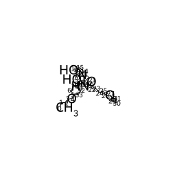 CCCCOc1ccc([C@@H](O)[C@@H](CN2CCC(O)C2)NC(=O)CCCCCOC2CCC2)cc1